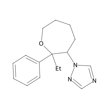 CCC1(c2ccccc2)OCCCCC1n1cncn1